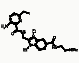 CCn1c(CNC(=O)c2nc(CI)cnc2N)[n+](CC)c2ccc(C(=O)NCCNC)cc21